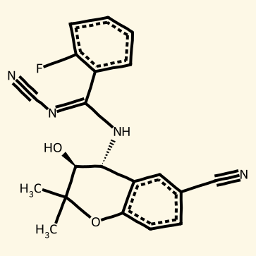 CC1(C)Oc2ccc(C#N)cc2[C@@H](NC(=NC#N)c2ccccc2F)[C@@H]1O